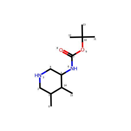 CC1CNCC(NC(=O)OC(C)(C)C)C1C